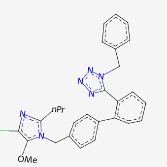 CCCc1nc(Cl)c(OC)n1Cc1ccc(-c2ccccc2-c2nnnn2Cc2ccccc2)cc1